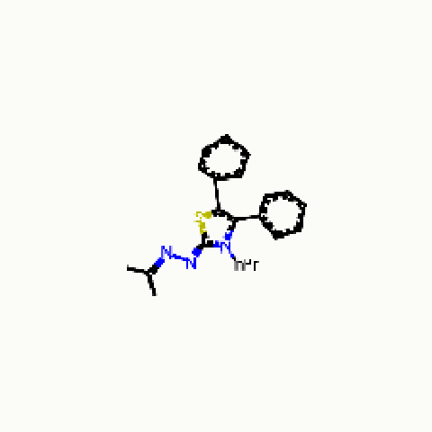 CCCn1c(-c2ccccc2)c(-c2ccccc2)sc1=NN=C(C)C